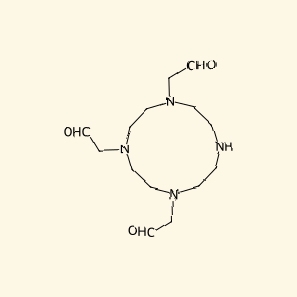 O=CCN1CCNCCN(CC=O)CCN(CC=O)CC1